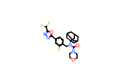 O=C(N1CCOCC1)N(Cc1ccc(-c2nnc(C(F)F)o2)cc1F)C12CC3CC(CC(C3)C1)C2